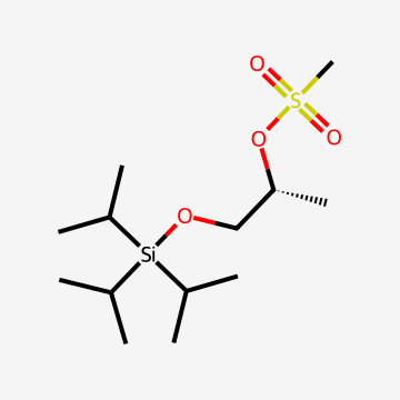 CC(C)[Si](OC[C@@H](C)OS(C)(=O)=O)(C(C)C)C(C)C